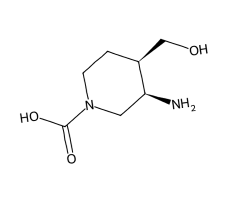 N[C@H]1CN(C(=O)O)CC[C@H]1CO